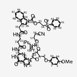 COc1ccc(OC[C@H]2O[C@@H](n3cnc4c(=O)[nH]c(NC(=O)CCNC(=O)Cc5cn(C(=O)OCCS(=O)(=O)c6ccccc6)c6ccccc56)nc43)C[C@H]2OP(OCCC#N)N(C(C)C)C(C)C)cc1